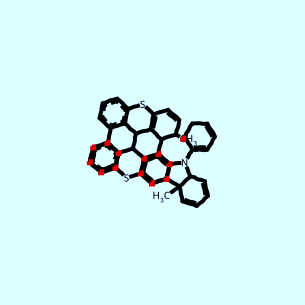 CC1C=CC2=C(C1C1=CC=CC3C1N(C1=CC=CCC1)C1C=CC=CC31C)C(C1C3=C(CCC=C3)Sc3ccccc31)c1c(cccc1C1C=CC=CC1)S2